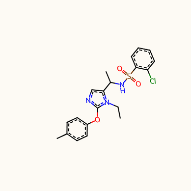 CCn1c(C(C)NS(=O)(=O)c2ccccc2Cl)cnc1Oc1ccc(C)cc1